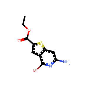 CCOC(=O)c1cc2c(Br)nc(N)cc2s1